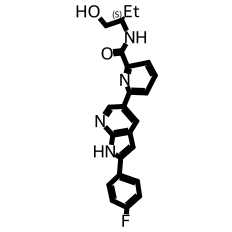 CC[C@@H](CO)NC(=O)c1cccc(-c2cnc3[nH]c(-c4ccc(F)cc4)cc3c2)n1